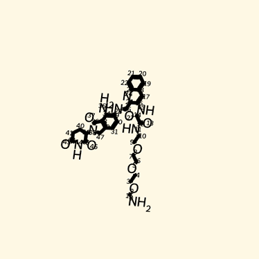 NCOCCOCCOCCNC(=O)CNc1cc2ccccc2nc1C(=O)Nc1ccc2c(c1N)C(=O)N(C1CCC(=O)NC1=O)C2